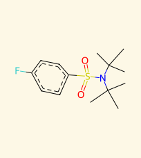 CC(C)(C)N(C(C)(C)C)S(=O)(=O)c1ccc(F)cc1